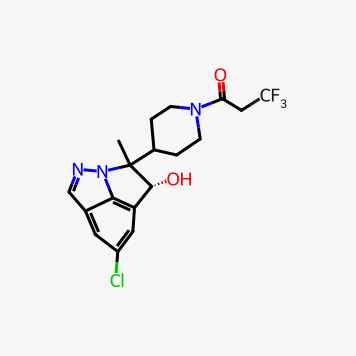 CC1(C2CCN(C(=O)CC(F)(F)F)CC2)[C@H](O)c2cc(Cl)cc3cnn1c23